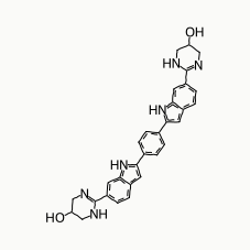 OC1CN=C(c2ccc3cc(-c4ccc(-c5cc6ccc(C7=NCC(O)CN7)cc6[nH]5)cc4)[nH]c3c2)NC1